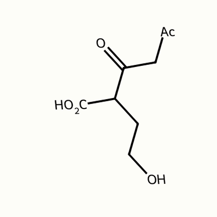 CC(=O)CC(=O)C(CCO)C(=O)O